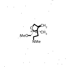 C=C1CO[C@@H](COC)[C@]1(C)CCNC